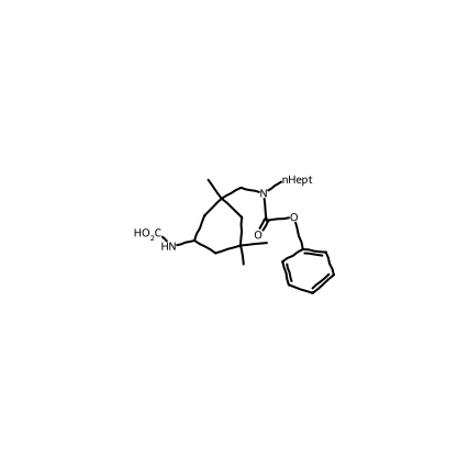 CCCCCCCN(CC1(C)CC(NC(=O)O)CC(C)(C)C1)C(=O)Oc1ccccc1